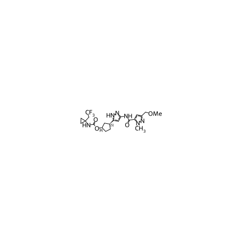 COCc1cc(C(=O)Nc2cc([C@H]3CC[C@@H](OC(=O)NC4(CC(F)(F)F)CC4)C3)[nH]n2)n(C)n1